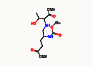 COC(=O)CCC(CNC(C(=O)OC)C(C)O)NC(=O)OC(C)(C)C